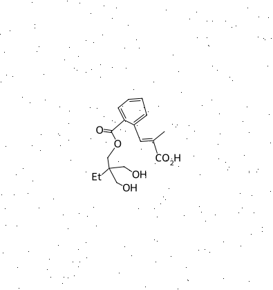 CCC(CO)(CO)COC(=O)c1ccccc1C=C(C)C(=O)O